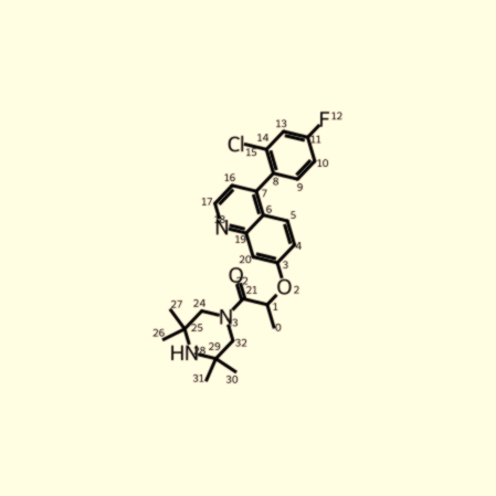 CC(Oc1ccc2c(-c3ccc(F)cc3Cl)ccnc2c1)C(=O)N1CC(C)(C)NC(C)(C)C1